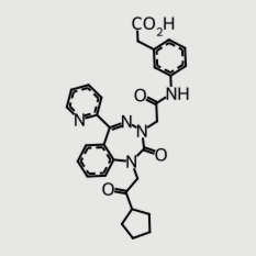 O=C(O)Cc1cccc(NC(=O)CN2N=C(c3ccccn3)c3ccccc3N(CC(=O)C3CCCC3)C2=O)c1